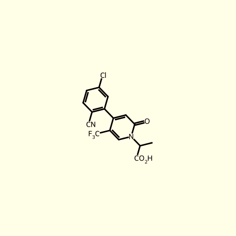 CC(C(=O)O)n1cc(C(F)(F)F)c(-c2cc(Cl)ccc2C#N)cc1=O